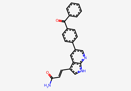 NC(=O)C=Cc1c[nH]c2ncc(-c3ccc(C(=O)c4ccccc4)cc3)cc12